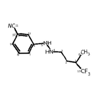 CC(CCNNc1cccc(C#N)c1)C(F)(F)F